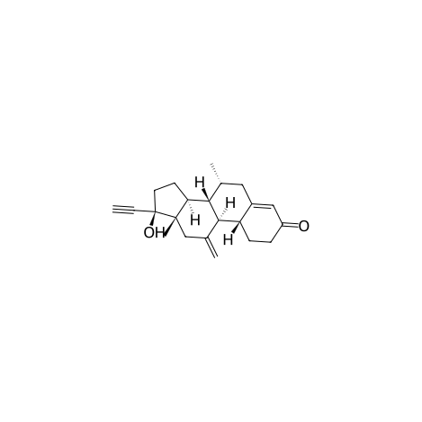 C#C[C@]1(O)CC[C@H]2[C@H]3[C@H](C(=C)C[C@@]21C)[C@H]1CCC(=O)C=C1C[C@H]3C